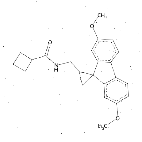 COc1ccc2c(c1)C1(CC1CNC(=O)C1CCC1)c1cc(OC)ccc1-2